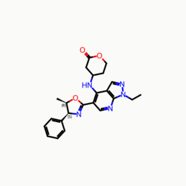 CCn1ncc2c(NC3CCOC(=O)C3)c(C3=N[C@@H](c4ccccc4)[C@@H](C)O3)cnc21